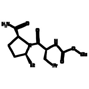 CC[C@H]1CC[C@@H](C(N)=O)N1C(=O)[C@H](CC(C)C)NC(=O)OC(C)(C)C